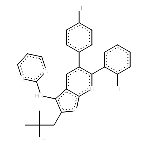 CC(C)(C=O)Cc1oc2nc(-c3ccccc3Cl)c(-c3ccc(Cl)cc3)cc2c1Nc1ncccn1